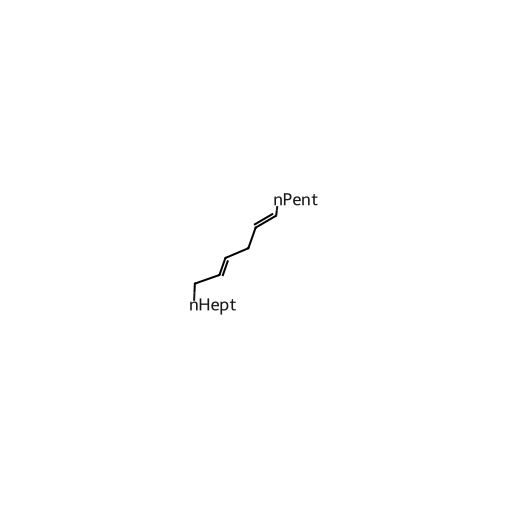 [CH2]CCCCC=CCC=CCCCCCCCC